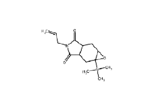 C=CCN1C(=O)C2CC3OC3([Si](C)(C)C)CC2C1=O